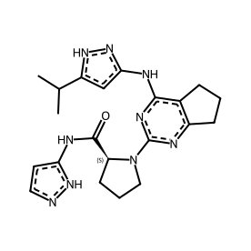 CC(C)c1cc(Nc2nc(N3CCC[C@H]3C(=O)Nc3ccn[nH]3)nc3c2CCC3)n[nH]1